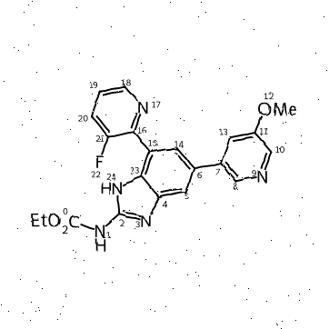 CCOC(=O)Nc1nc2cc(-c3cncc(OC)c3)cc(-c3ncccc3F)c2[nH]1